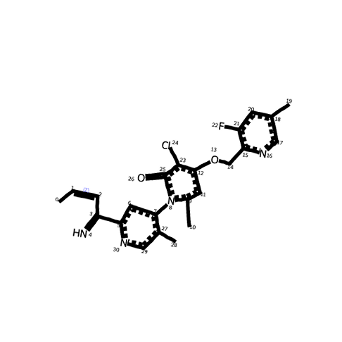 C/C=C\C(=N)c1cc(-n2c(C)cc(OCc3ncc(C)cc3F)c(Cl)c2=O)c(C)cn1